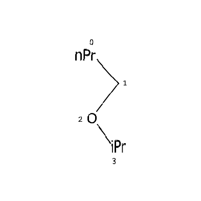 [CH2]CCCOC([CH2])C